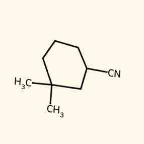 CC1(C)CCCC(C#N)C1